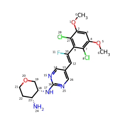 COc1cc(OC)c(Cl)c(/C(F)=C/c2cnc(N[C@H]3COCC[C@H]3N)nc2)c1Cl